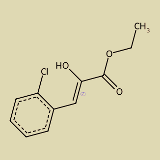 CCOC(=O)/C(O)=C/c1ccccc1Cl